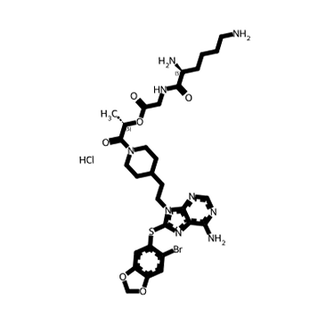 C[C@H](OC(=O)CNC(=O)[C@@H](N)CCCCN)C(=O)N1CCC(CCn2c(Sc3cc4c(cc3Br)OCO4)nc3c(N)ncnc32)CC1.Cl